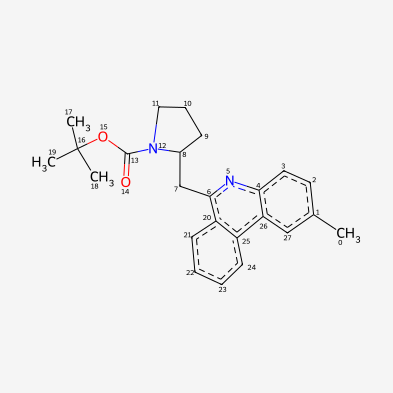 Cc1ccc2nc(CC3CCCN3C(=O)OC(C)(C)C)c3ccccc3c2c1